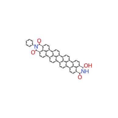 O=C1NC(O)c2ccc3c4ccc5c6ccc7c8ccc9c%10c(ccc(c%11ccc(c%12ccc(c%13ccc1c2c%133)c4c%125)c6c%117)c%108)C(=O)N(c1ccccc1)C9=O